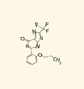 CCCOc1ccccc1C1=NC(=O)C2=NC(C(F)(F)F)=NC2=N1